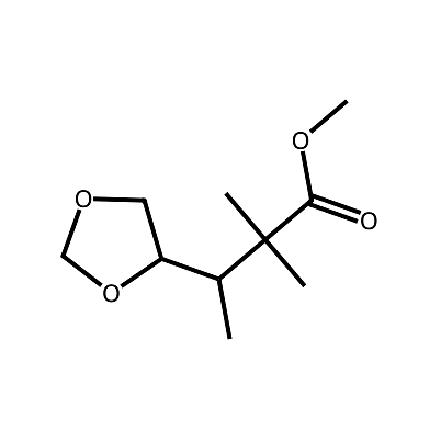 COC(=O)C(C)(C)C(C)C1COCO1